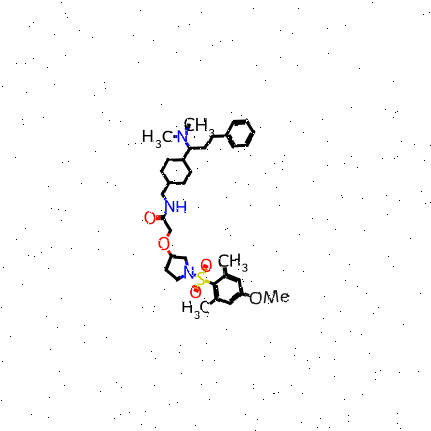 COc1cc(C)c(S(=O)(=O)N2CCC(OCC(=O)NCC3CCC(C(CCc4ccccc4)N(C)C)CC3)C2)c(C)c1